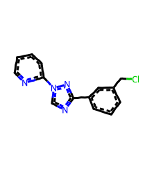 ClCc1cccc(-c2ncn(-c3ccccn3)n2)c1